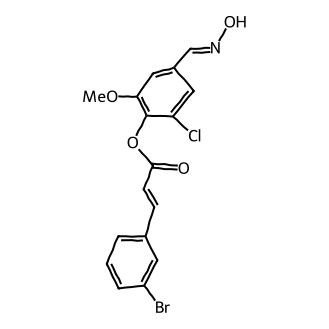 COc1cc(/C=N/O)cc(Cl)c1OC(=O)C=Cc1cccc(Br)c1